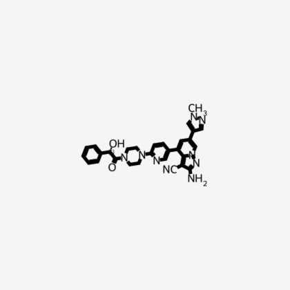 Cn1cc(-c2cc(-c3ccc(N4CCN(C(=O)[C@@H](O)c5ccccc5)CC4)nc3)c3c(C#N)c(N)nn3c2)cn1